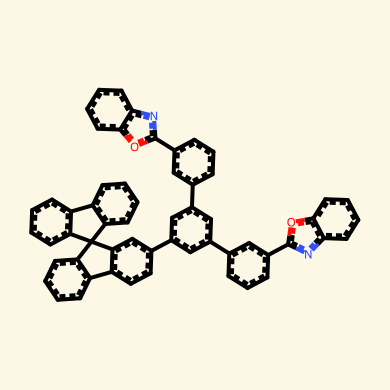 c1cc(-c2cc(-c3cccc(-c4nc5ccccc5o4)c3)cc(-c3ccc4c(c3)C3(c5ccccc5-c5ccccc53)c3ccccc3-4)c2)cc(-c2nc3ccccc3o2)c1